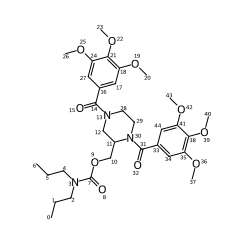 CCCN(CCC)C(=O)OCC1CN(C(=O)c2cc(OC)c(OC)c(OC)c2)CCN1C(=O)c1cc(OC)c(OC)c(OC)c1